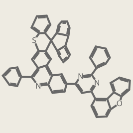 c1ccc(-c2nc(-c3ccc4nc(-c5ccccc5)c5cc6c(cc5c4c3)C3(c4ccccc4S6)c4ccccc4-c4ccccc43)cc(-c3cccc4oc5ccccc5c34)n2)cc1